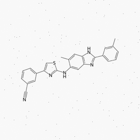 Cc1cccc(-c2nc3cc(Nc4nc(-c5cccc(C#N)c5)cs4)c(C)cc3[nH]2)c1